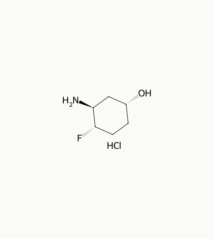 Cl.N[C@H]1C[C@H](O)CC[C@@H]1F